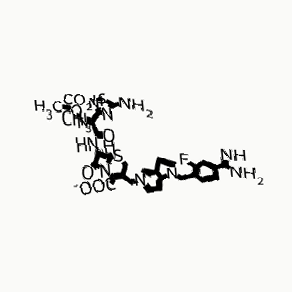 CC(C)(ON=C(C(=O)N[C@@H]1C(=O)N2C(C(=O)[O-])=C(C[n+]3ccc4c(ccn4Cc4ccc(C(=N)N)cc4F)c3)CS[C@H]12)c1nsc(N)n1)C(=O)O